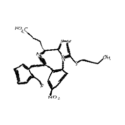 O=C(O)CC[C@@H]1N=C(c2ccccc2F)c2cc([N+](=O)[O-])ccc2-n2c(SCCO)nnc21